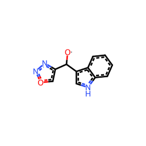 [O]C(c1conn1)c1c[nH]c2ccccc12